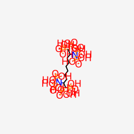 O=P(O)(O)C(C(CCCCCCC(C(P(=O)(O)O)P(=O)(O)O)N(P(=O)(O)O)P(=O)(O)O)N(P(=O)(O)O)P(=O)(O)O)P(=O)(O)O